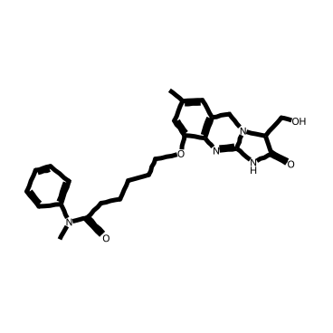 Cc1cc2c(c(OCCCCCC(=O)N(C)c3ccccc3)c1)N=C1NC(=O)C(CO)N1C2